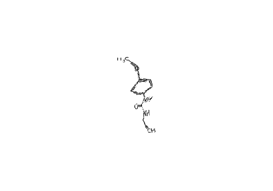 C#CCNC(=O)Nc1ccc(C#CC)cc1